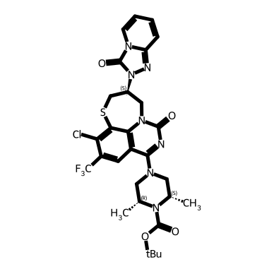 C[C@@H]1CN(c2nc(=O)n3c4c(c(Cl)c(C(F)(F)F)cc24)SC[C@@H](n2nc4ccccn4c2=O)C3)C[C@H](C)N1C(=O)OC(C)(C)C